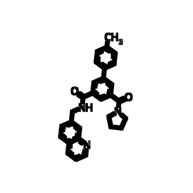 Cc1ccc(-c2cc(C(=O)NCc3ccc4cccnc4c3)cc(C(=O)N3CCCC3)c2)cc1